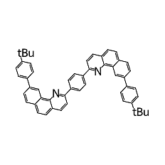 CC(C)(C)c1ccc(-c2ccc3ccc4ccc(-c5ccc(-c6ccc7ccc8ccc(-c9ccc(C(C)(C)C)cc9)cc8c7n6)cc5)nc4c3c2)cc1